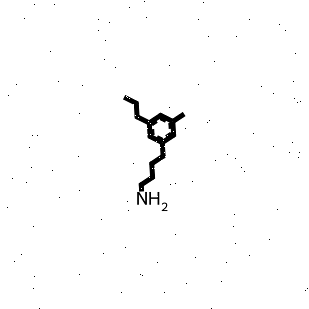 CCCc1cc(C)cc(CCCCN)c1